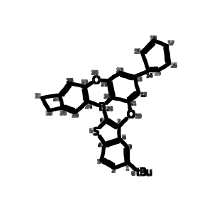 CC(C)(C)c1ccc2sc3c(c2c1)Oc1cc(-c2ccccc2)cc2c1B3c1cc3c(cc1O2)CC3